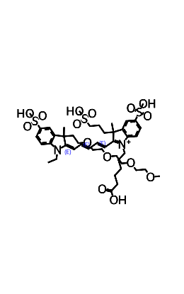 CCN1/C(=C/C=C/C=C/C2=[N+](CCCCCC(=O)O)c3ccc(S(=O)(=O)O)cc3C2(C)CCCS(=O)(=O)O)C(C)(CCOCCOCCOCCOC)c2cc(S(=O)(=O)O)ccc21